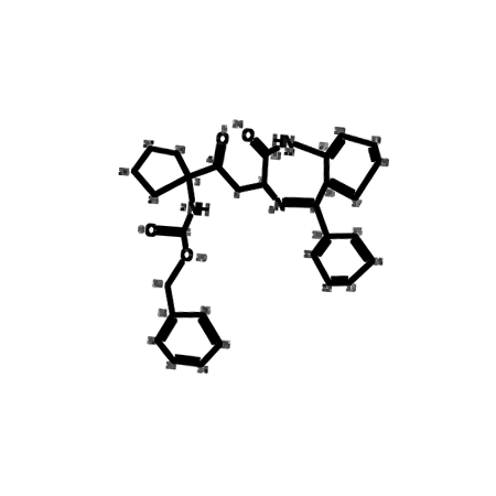 O=C(NC1(C(=O)CC2N=C(c3ccccc3)c3ccccc3NC2=O)CCCC1)OCc1ccccc1